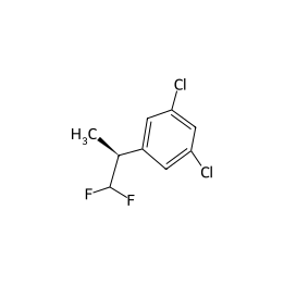 C[C@@H](c1cc(Cl)cc(Cl)c1)C(F)F